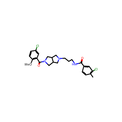 COc1ccc(Cl)cc1C(=O)N1CC2CN(CCCNC(=O)c3ccc(C)c(Cl)c3)CC2C1